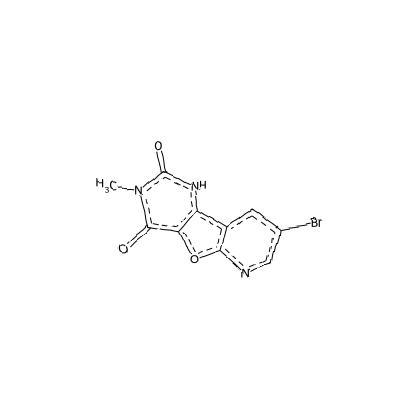 Cn1c(=O)[nH]c2c(oc3ncc(Br)cc32)c1=O